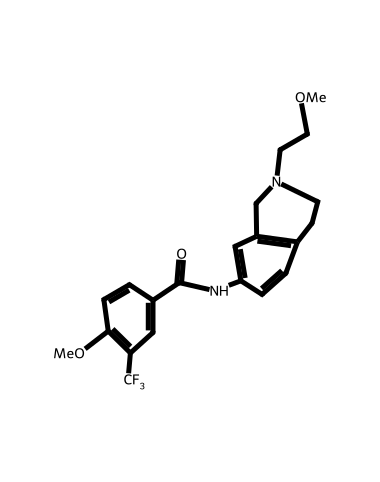 COCCN1CCc2ccc(NC(=O)c3ccc(OC)c(C(F)(F)F)c3)cc2C1